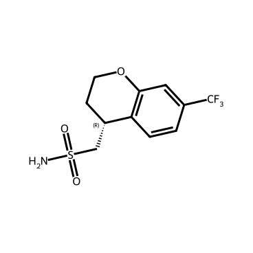 NS(=O)(=O)C[C@@H]1CCOc2cc(C(F)(F)F)ccc21